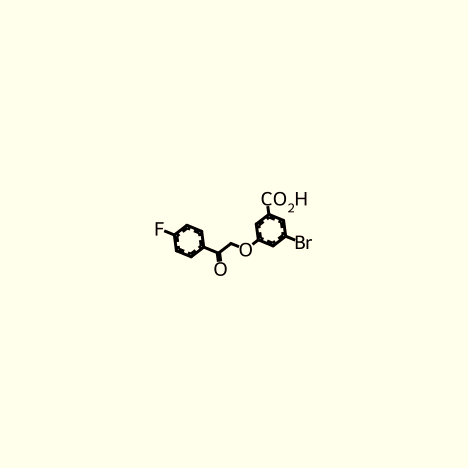 O=C(O)c1cc(Br)cc(OCC(=O)c2ccc(F)cc2)c1